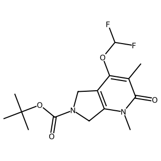 Cc1c(OC(F)F)c2c(n(C)c1=O)CN(C(=O)OC(C)(C)C)C2